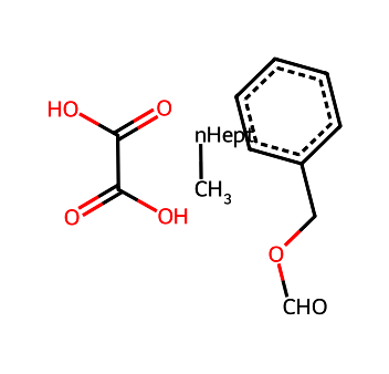 CCCCCCCC.O=C(O)C(=O)O.O=COCc1ccccc1